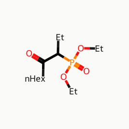 CCCCCCC(=O)C(CC)P(=O)(OCC)OCC